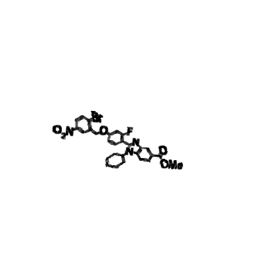 COC(=O)c1ccc2c(c1)nc(-c1ccc(OCc3cc([N+](=O)[O-])ccc3Br)cc1F)n2C1CCCCC1